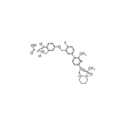 Cc1nc(OC[C@@H]2CCCC[C@H]2S(C)(=O)=O)ccc1-c1ccc(F)c(COc2ccc3c(c2)C[C@H]2[C@H](C(=O)O)[C@@H]32)c1